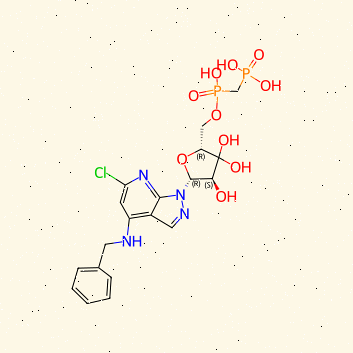 O=P(O)(O)CP(=O)(O)OC[C@H]1O[C@@H](n2ncc3c(NCc4ccccc4)cc(Cl)nc32)[C@H](O)C1(O)O